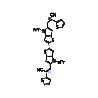 CCCn1c(/C=C(\C#N)c2cccs2)cc2sc(-c3cc4c(cc(C[C@H](C#N)c5cccs5)n4CCC)s3)cc21